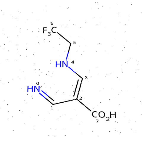 N=C/C(=C\NCC(F)(F)F)C(=O)O